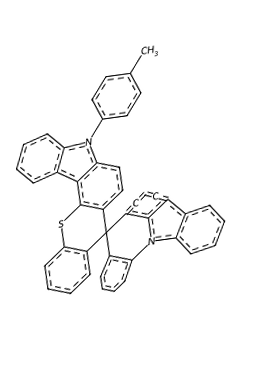 Cc1ccc(-n2c3ccccc3c3c4c(ccc32)C2(c3ccccc3S4)c3ccccc3-n3c4ccccc4c4cccc2c43)cc1